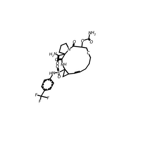 NC(=O)OC1CCCCCC=CC2CC2(S(=O)(=O)Nc2ccc(C(F)(F)F)cc2)NC(=O)C2(C(N)=O)CCCN2C1=O